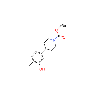 Cc1ccc(C2CCN(C(=O)OC(C)(C)C)CC2)cc1O